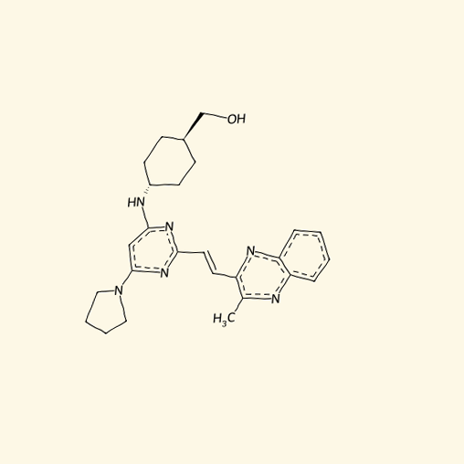 Cc1nc2ccccc2nc1C=Cc1nc(N[C@H]2CC[C@H](CO)CC2)cc(N2CCCC2)n1